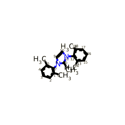 Cc1cccc(C)c1N1C=CN(c2c(C)cccc2C)C1C